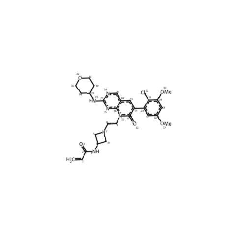 C=CC(=O)NC1CN(CCn2c(=O)c(-c3cc(OC)cc(OC)c3Cl)cc3cnc(NC4CCOCC4)nc32)C1